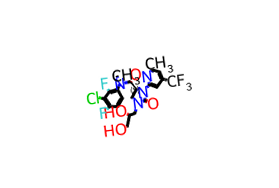 Cc1cc(C(F)(F)F)cc(N2C(=O)N(CC(O)CO)C[C@H]2C(=O)N(C)c2ccc(F)c(Cl)c2F)n1